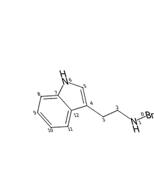 BrNCCc1c[nH]c2ccccc12